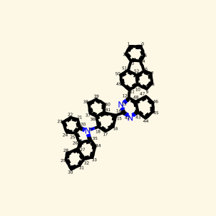 c1ccc2c(c1)-c1cccc3c(-c4nc(-c5ccc(-n6c7ccccc7c7c8ccccc8ccc76)c6ccccc56)nc5ccccc45)ccc-2c13